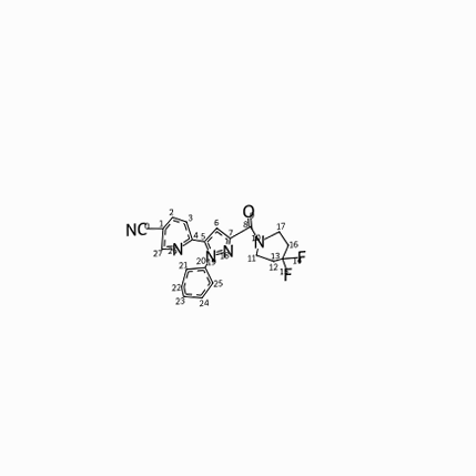 N#Cc1ccc(-c2cc(C(=O)N3CCC(F)(F)CC3)nn2-c2ccccc2)nc1